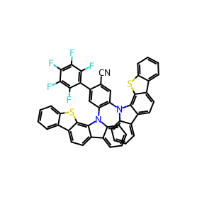 N#Cc1cc(-n2c3ccccc3c3ccc4c5ccccc5sc4c32)c(-n2c3ccccc3c3ccc4c5ccccc5sc4c32)cc1-c1c(F)c(F)c(F)c(F)c1F